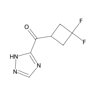 O=C(c1ncn[nH]1)C1CC(F)(F)C1